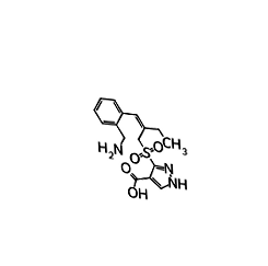 CCC(=Cc1ccccc1CN)CS(=O)(=O)c1n[nH]cc1C(=O)O